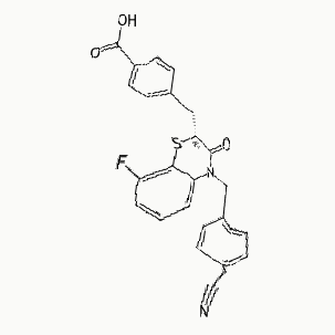 N#Cc1ccc(CN2C(=O)[C@@H](Cc3ccc(C(=O)O)cc3)Sc3c(F)cccc32)cc1